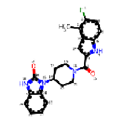 Cc1c(F)ccc2[nH]c(C(=O)N3CCC(n4c(=O)[nH]c5ccccc54)CC3)cc12